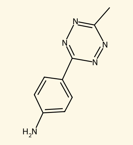 Cc1nnc(-c2ccc(N)cc2)nn1